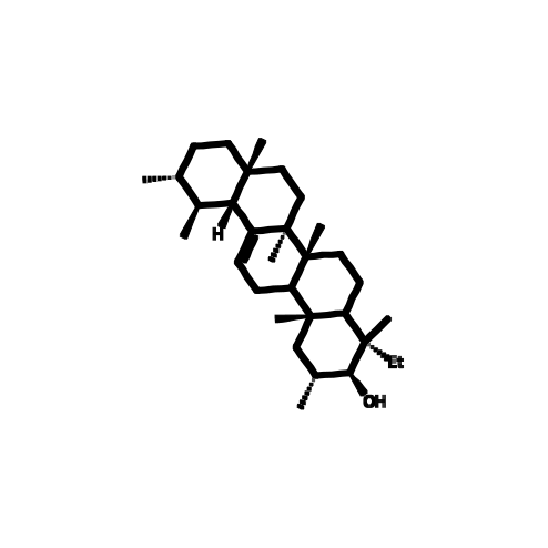 CC[C@@]1(C)C2CC[C@]3(C)C(CC=C4[C@@H]5[C@@H](C)[C@H](C)CC[C@]5(C)CC[C@]43C)[C@@]2(C)C[C@@H](C)[C@@H]1O